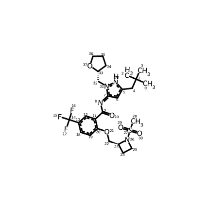 CC(C)(C)Cc1c/c(=N\C(=O)c2cc(C(F)(F)F)ccc2OC[C@@H]2CCN2S(C)(=O)=O)n(C[C@H]2CCCO2)[nH]1